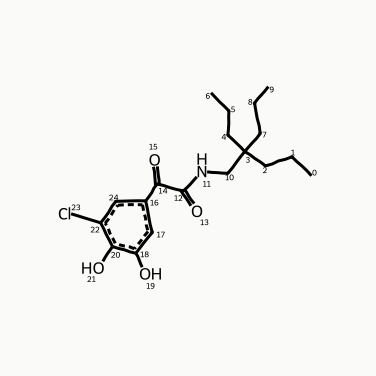 CCCC(CCC)(CCC)CNC(=O)C(=O)c1cc(O)c(O)c(Cl)c1